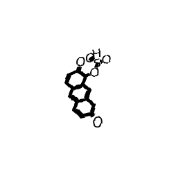 O=C1C=Cc2cc3c(cc2C1)C(O[SH](=O)=O)C(=O)C=C3